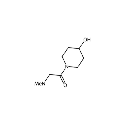 CNCC(=O)N1CCC(O)CC1